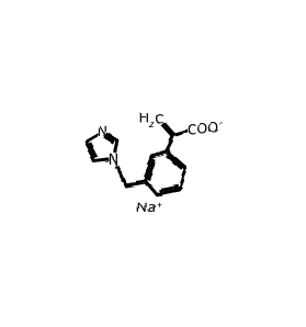 C=C(C(=O)[O-])c1cccc(Cn2ccnc2)c1.[Na+]